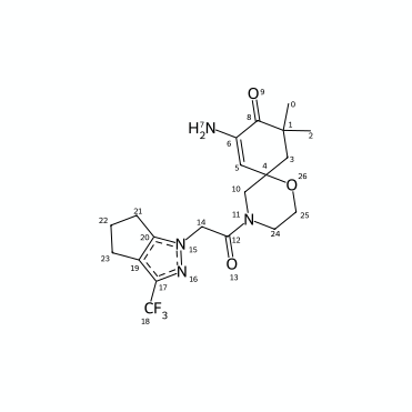 CC1(C)CC2(C=C(N)C1=O)CN(C(=O)Cn1nc(C(F)(F)F)c3c1CCC3)CCO2